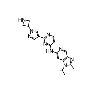 Cc1nc2cnc(Nc3ccnc(-c4cnn(C5CNC5)c4)n3)cc2n1C(C)C